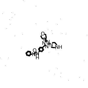 O=C(Nc1ccccc1)Nc1ccc(-c2nc(N3CCCNCC3)nc(N3CCOCC3)n2)cc1